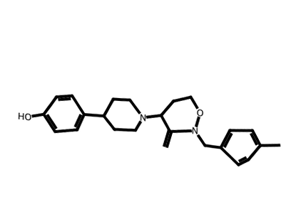 C=C1C(N2CCC(c3ccc(O)cc3)CC2)CCON1Cc1ccc(C)cc1